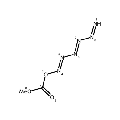 COC(=O)ON=NN=NN=N